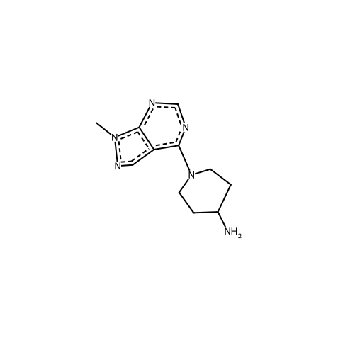 Cn1ncc2c(N3CCC(N)CC3)ncnc21